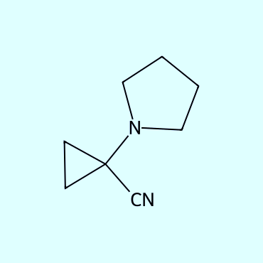 N#CC1(N2CCCC2)CC1